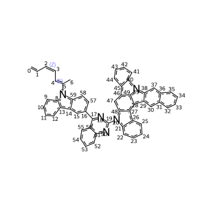 C=C/C=C\C=C(/C)n1c2ccccc2c2cc(-c3nc(-n4c5ccccc5c5c6c7cc8ccccc8cc7n7c8ccccc8c(cc54)c67)nc4ccccc34)ccc21